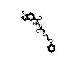 Cn1ccc2cc(C(=O)NNC(=O)CSCCOc3ccccc3)ccc21